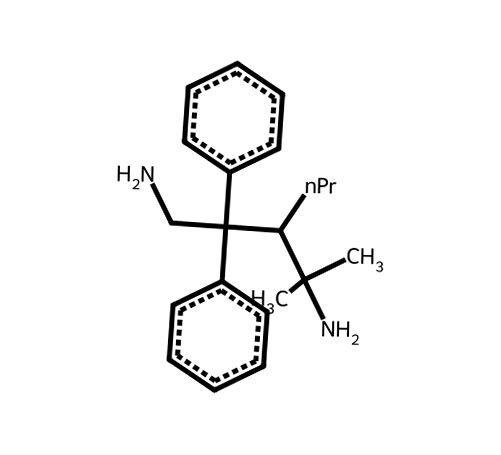 CCCC(C(C)(C)N)C(CN)(c1ccccc1)c1ccccc1